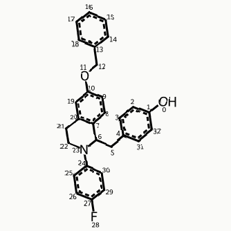 Oc1ccc(CC2c3ccc(OCc4ccccc4)cc3CCN2c2ccc(F)cc2)cc1